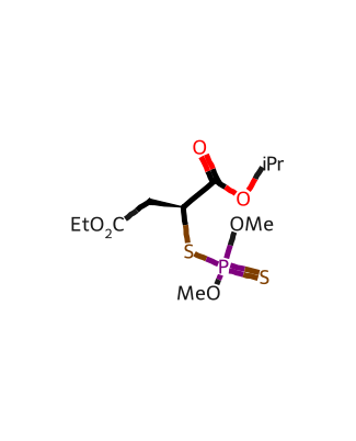 CCOC(=O)C[C@H](SP(=S)(OC)OC)C(=O)OC(C)C